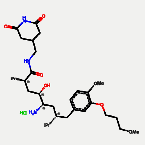 COCCCOc1cc(C[C@@H](C[C@H](N)[C@@H](O)C[C@H](C(=O)NCC2CC(=O)NC(=O)C2)C(C)C)C(C)C)ccc1OC.Cl